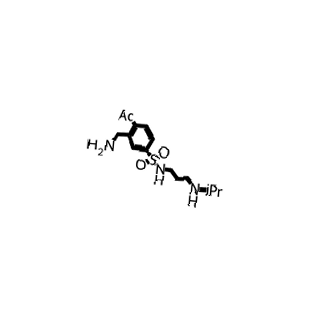 CC(=O)c1ccc(S(=O)(=O)NCCCNC(C)C)cc1CN